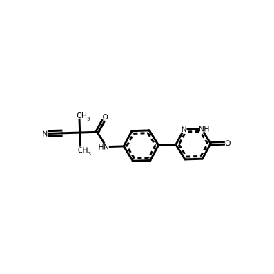 CC(C)(C#N)C(=O)Nc1ccc(-c2ccc(=O)[nH]n2)cc1